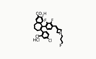 Cl.O=C(O)c1ccc2c(c1)CCCC(c1ccc(Cl)cc1Cl)=C2c1ccc(C=C2CN(CCCF)C2)c(F)c1F